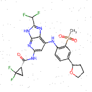 CS(=O)(=O)c1cc(C2CCCO2)ccc1Nc1cc(NC(=O)[C@@H]2CC2(F)F)nc2[nH]c(C(F)F)nc12